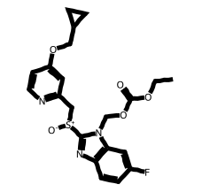 CCOC(=O)OCn1c([S+]([O-])Cc2cc(OCC3CC3)ccn2)nc2ccc(F)cc21